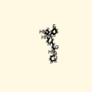 O=C(/C=C/c1cnc(N[C@]2(Cc3cccc(F)c3)CCNC2)cn1)NOC1CCCCO1